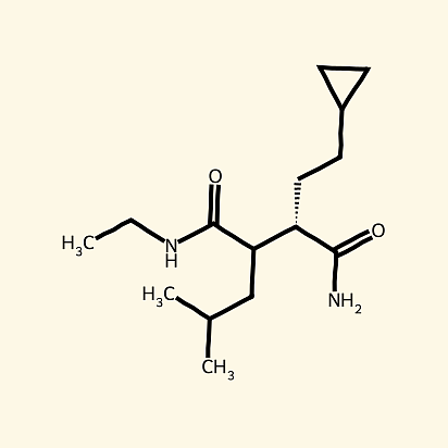 CCNC(=O)C(CC(C)C)[C@H](CCC1CC1)C(N)=O